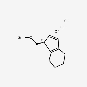 [Cl-].[Cl-].[Cl-].[Zr+3][O]C[C@H]1C=CC2=C1CCCC2